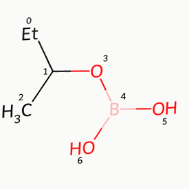 CCC(C)OB(O)O